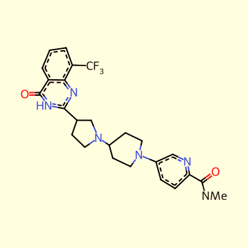 CNC(=O)c1ccc(N2CCC(N3CCC(c4nc5c(C(F)(F)F)cccc5c(=O)[nH]4)C3)CC2)cn1